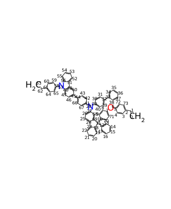 C=Cc1ccc(Oc2ccc(C3(c4ccccc4)c4ccccc4-c4ccc(N(c5ccc(-c6ccccc6)cc5)c5ccc(-c6ccc7c(c6)c6ccccc6n7-c6ccc(C=C)cc6)cc5)cc43)cc2)cc1